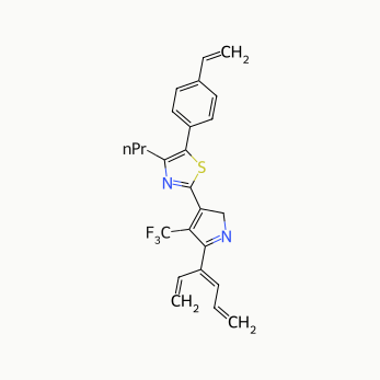 C=C/C=C(\C=C)C1=NCC(c2nc(CCC)c(-c3ccc(C=C)cc3)s2)=C1C(F)(F)F